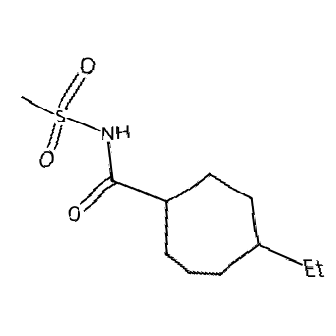 CCC1CCC(C(=O)NS(C)(=O)=O)CC1